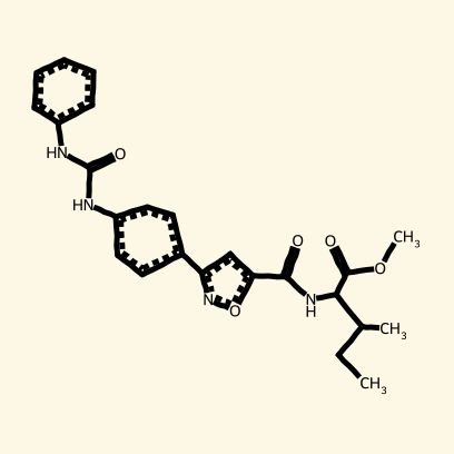 CCC(C)C(NC(=O)c1cc(-c2ccc(NC(=O)Nc3ccccc3)cc2)no1)C(=O)OC